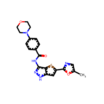 Cc1cnc(-c2cc3[nH]nc(NC(=O)c4ccc(N5CCOCC5)cc4)c3s2)o1